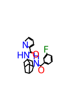 O=C(NC12CC3CC(C1)CC(NC(=O)c1ccccn1)(C3)C2)c1cccc(F)c1